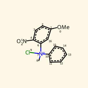 COc1ccc([N+](=O)[O-])c([N+](C)(Cl)c2ccccc2)c1